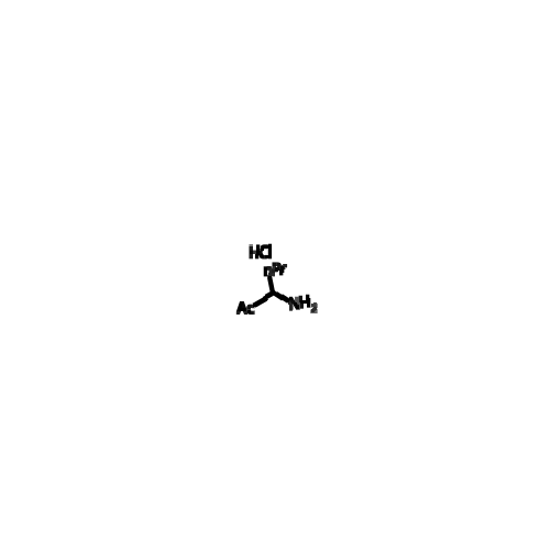 CCCC(N)C(C)=O.Cl